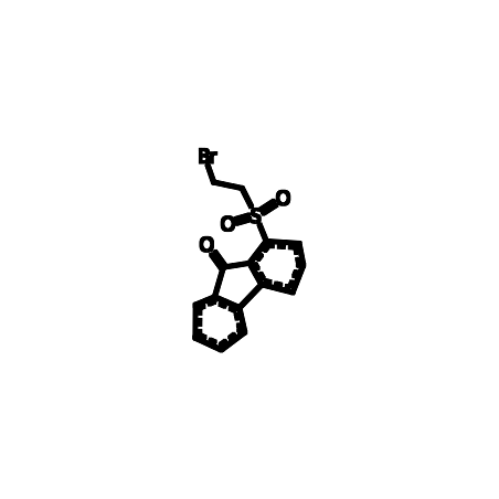 O=C1c2ccccc2-c2cccc(S(=O)(=O)CCBr)c21